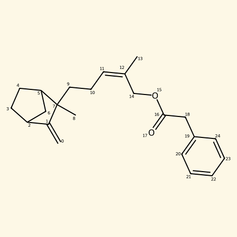 C=C1C2CCC(C2)C1(C)CCC=C(C)COC(=O)Cc1ccccc1